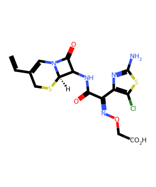 C=CC1=CN2C(=O)C(NC(=O)/C(=N/OCC(=O)O)c3nc(N)sc3Cl)[C@H]2SC1